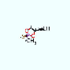 C#CC1COP(C)(=S)O1